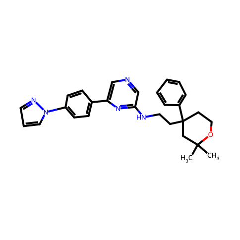 CC1(C)CC(CCNc2cncc(-c3ccc(-n4cccn4)cc3)n2)(c2ccccc2)CCO1